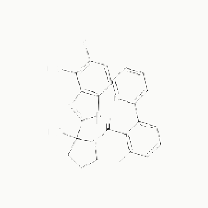 Cc1c(Cl)ccc2[nH]c(C3(C)CCCN3C(=O)c3c(F)cccc3-c3ccccn3)nc12